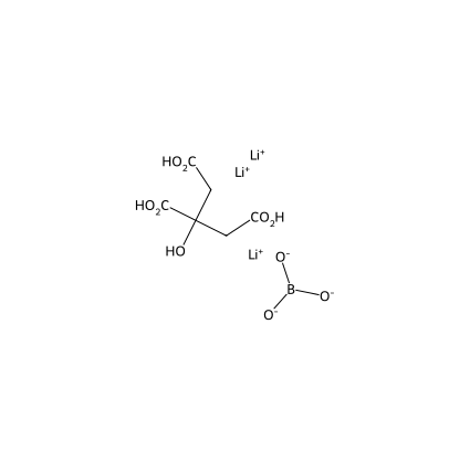 O=C(O)CC(O)(CC(=O)O)C(=O)O.[Li+].[Li+].[Li+].[O-]B([O-])[O-]